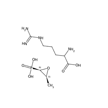 C[C@@H]1O[C@@H]1P(=O)(O)O.N=C(N)NCCCC(N)C(=O)O